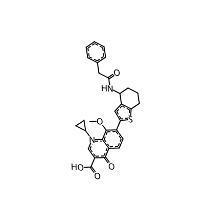 COc1c(-c2cc3c(s2)CCCC3NC(=O)Cc2ccccc2)ccc2c(=O)c(C(=O)O)cn(C3CC3)c12